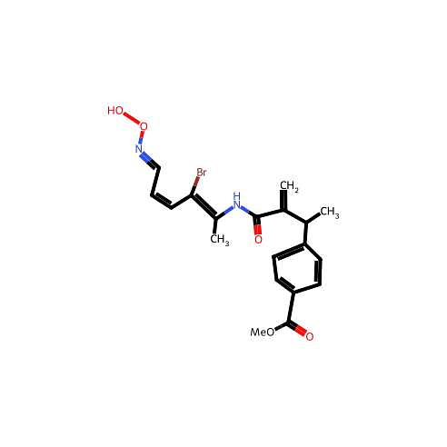 C=C(C(=O)N/C(C)=C(Br)/C=C\C=N\OO)C(C)c1ccc(C(=O)OC)cc1